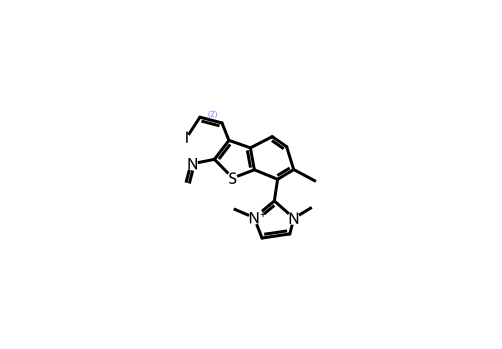 C=Nc1sc2c(-c3n(C)cc[n+]3C)c(C)ccc2c1/C=C\I